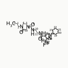 CCCN1CCN(C(=O)NCCNC(=O)c2cn(-c3ccccc3)nc2C(F)(F)F)CC1=O